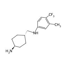 Cc1cc(NC[C@H]2CC[C@H](N)CC2)ccc1C(F)(F)F